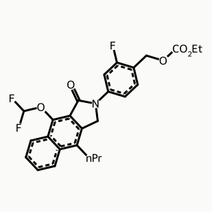 CCCc1c2c(c(OC(F)F)c3ccccc13)C(=O)N(c1ccc(COC(=O)OCC)c(F)c1)C2